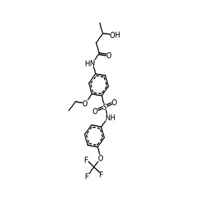 CCOc1cc(NC(=O)CC(C)O)ccc1S(=O)(=O)Nc1cccc(OC(F)(F)F)c1